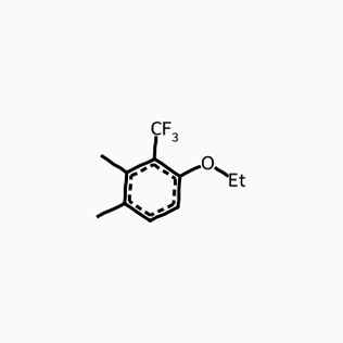 CCOc1ccc(C)c(C)c1C(F)(F)F